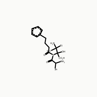 CCC(C)(N)C(O)(C(=O)O)N(C(=O)CCCc1ccccc1)C(=O)C(N)C(C)C